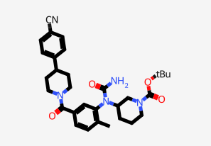 Cc1ccc(C(=O)N2CCC(c3ccc(C#N)cc3)CC2)cc1N(C(N)=O)C1CCCN(C(=O)OC(C)(C)C)C1